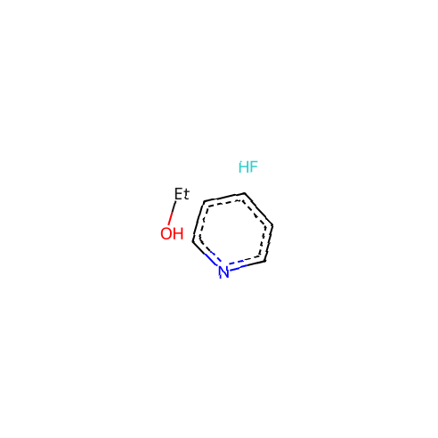 CCO.F.c1ccncc1